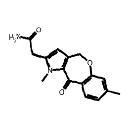 Cc1ccc2c(c1)OCc1cc(CC(N)=O)n(C)c1C2=O